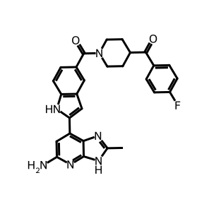 Cc1nc2c(-c3cc4cc(C(=O)N5CCC(C(=O)c6ccc(F)cc6)CC5)ccc4[nH]3)cc(N)nc2[nH]1